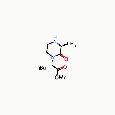 CC[C@H](C)[C@@H](C(=O)OC)N1CCN[C@@H](C)C1=O